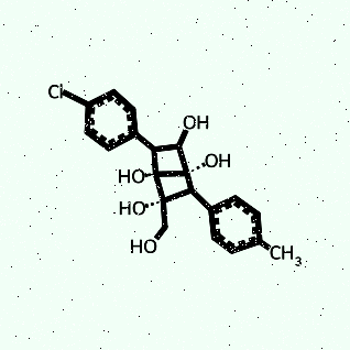 Cc1ccc(C2[C@]3(O)C(O)C(c4ccc(Cl)cc4)[C@]3(O)[C@]2(O)CO)cc1